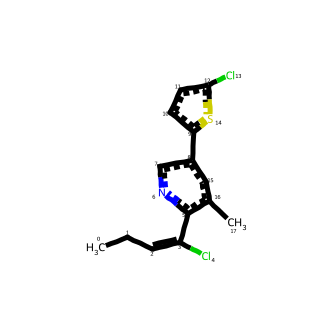 CC/C=C(/Cl)c1ncc(-c2ccc(Cl)s2)cc1C